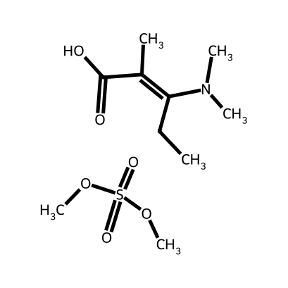 CC/C(=C(/C)C(=O)O)N(C)C.COS(=O)(=O)OC